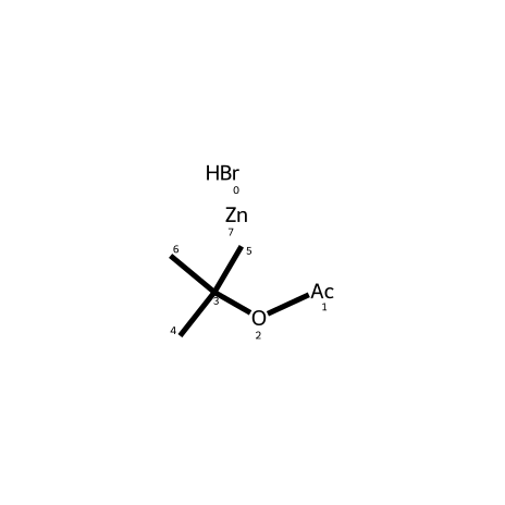 Br.CC(=O)OC(C)(C)C.[Zn]